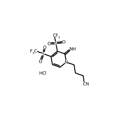 Cl.N#CCCCn1ccc(S(=O)(=O)C(F)(F)F)c(S(=O)(=O)C(F)(F)F)c1=N